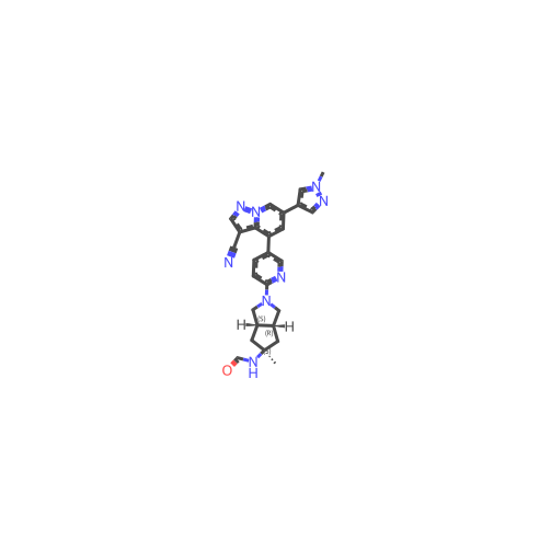 Cn1cc(-c2cc(-c3ccc(N4C[C@@H]5C[C@@](C)(NC=O)C[C@@H]5C4)nc3)c3c(C#N)cnn3c2)cn1